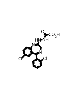 O=C(O)C(=O)NNC1=Nc2ccc(Cl)cc2C(c2ccccc2Cl)=NC1